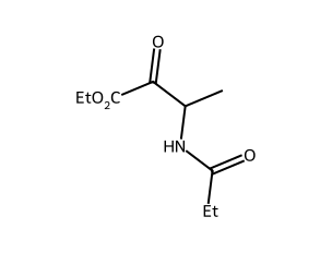 CCOC(=O)C(=O)C(C)NC(=O)CC